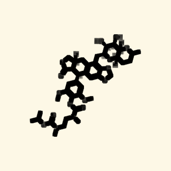 COc1cc([C@@H]2c3cc4c(c(C[C@@H]5O[C@@H]6CCC(C)O[C@H]6[C@H](O)[C@H]5O)c3C[C@H]3COC(=O)C32)OCO4)cc(OC)c1OC(=O)N(C)CCN(C)C(=O)OC(C)C